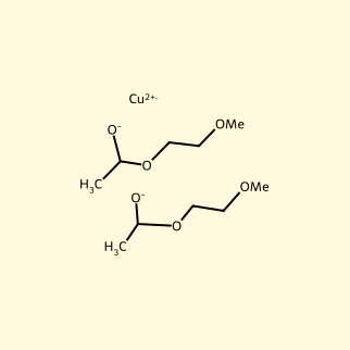 COCCOC(C)[O-].COCCOC(C)[O-].[Cu+2]